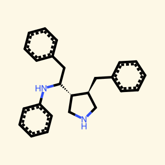 c1ccc(CC(Nc2ccccc2)[C@H]2CNC[C@@H]2Cc2ccccc2)cc1